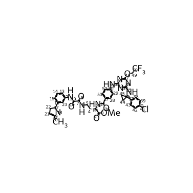 COC(=O)[C@H](CCNC(=O)C(=O)Nc1cccc(C2=NC(C)=CC2)c1)NC(=O)c1ccc(Nc2nc(NC3(c4ccc(Cl)cc4)CC3)nc(OCC(F)(F)F)n2)cc1